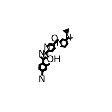 Cc1cc(C#N)ccc1-c1cnn(-c2ccc(C(=O)N3CCCC(N(C)C4CC4)C3)cn2)c1O